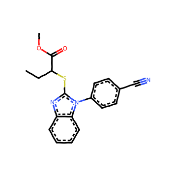 CCC(Sc1nc2ccccc2n1-c1ccc(C#N)cc1)C(=O)OC